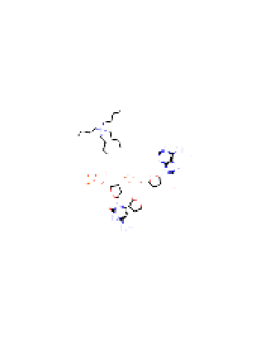 CCCC[N+](CCCC)(CCCC)CCCC.Nc1ccn([C@@H]2O[C@H](COP(=O)(O)O)[C@@H](OP(=O)(O)OC[C@H]3O[C@@H](n4cnc5c(N)ncnc54)[C@H](O)[C@@H]3O)[C@H]2OC2CCCO2)c(=O)n1